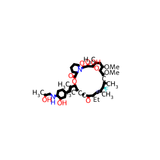 CCC1/C=C(\C)C(F)C(C)CC(OC)C2OC(O)(C(=O)C(=O)N3CCCCC3C(=O)OC(C(C)=CC3CCC(NCC(C)O)C(O)C3)C(C)CCC1=O)C(C)CC2OC